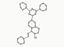 Sc1ccc2cc(-c3nc(-c4ccccc4)nc(-c4ccccc4)n3)ccc2c1/N=C/c1ccccc1